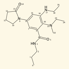 CCCNC(=O)c1cc(N2CCCC2=O)cc(NCC)c1N(C)CC